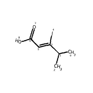 CC(C)/C(I)=C/C(=O)O